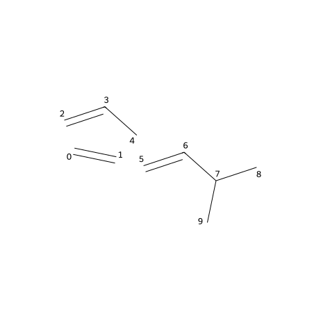 C=C.C=CC.C=CC(C)C